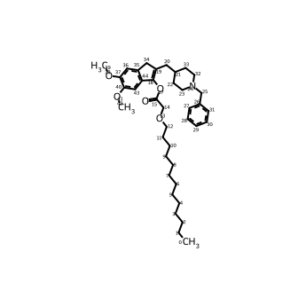 CCCCCCCCCCCCCOCC(=O)OC1=C(CC2CCN(Cc3ccccc3)CC2)Cc2cc(OC)c(OC)cc21